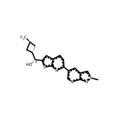 Cn1cc2cc(-c3ccc4cc([C@H](O)[C@H]5C[C@H](C(F)(F)F)C5)sc4n3)cnc2n1